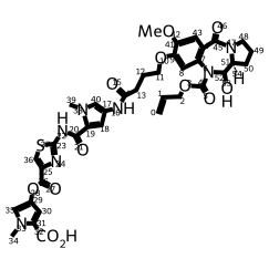 C=CCOC(=O)N1c2cc(OCCCC(=O)Nc3cc(C(=O)Nc4nc(C(=O)Oc5cc(C(=O)O)n(C)c5)cs4)n(C)c3)c(OC)cc2C(=O)N2CCC[C@H]2C1O